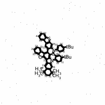 CC(C)(C)c1ccc(N2B3c4cc(C(C)(C)C)ccc4-n4c5cc6c(cc5c5c7oc8ccccc8c7c(c3c54)-c3cc4c(cc32)sc2ccccc24)C(C)(C)CCC6(C)C)cc1